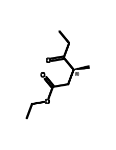 CCOC(=O)C[C@H](C)C(=O)CC